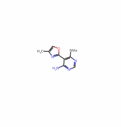 CNc1ncnc(N)c1-c1nc(C)co1